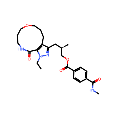 CCn1nc(C[C@@H](C)COC(=O)c2ccc(C(=O)NC)cc2)c2c1C(=O)NCCCOCCC2